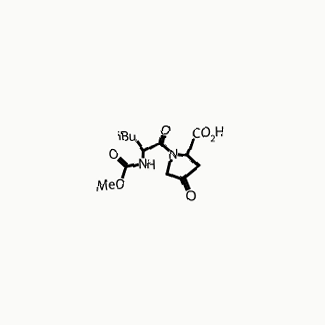 CCC(C)C(NC(=O)OC)C(=O)N1CC(=O)CC1C(=O)O